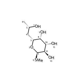 CS[C@H]1O[C@H](C[C@H](C)O)[C@H](O)[C@H](O)[C@H]1O